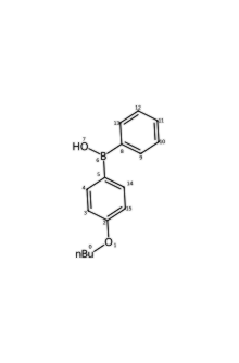 CCCCOc1ccc(B(O)c2ccccc2)cc1